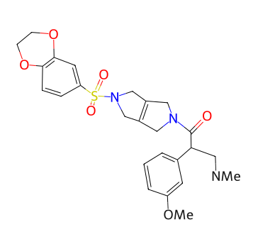 CNCC(C(=O)N1CC2=C(C1)CN(S(=O)(=O)c1ccc3c(c1)OCCO3)C2)c1cccc(OC)c1